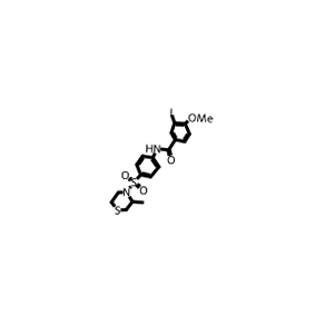 COc1ccc(C(=O)Nc2ccc(S(=O)(=O)N3CCSCC3C)cc2)cc1I